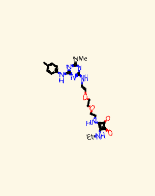 CCNc1c(NCCOCCOCCNc2nc(NC)nc(Nc3ccc(C)cc3)n2)c(=O)c1=O